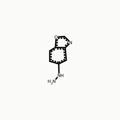 NNc1ccc2ocnc2c1